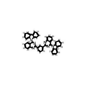 c1cc(-c2nc(-n3c4ccccc4c4ccccc43)c3ccccc3n2)cc(-c2nc(-n3c4ccccc4c4ccccc43)c3ccccc3n2)c1